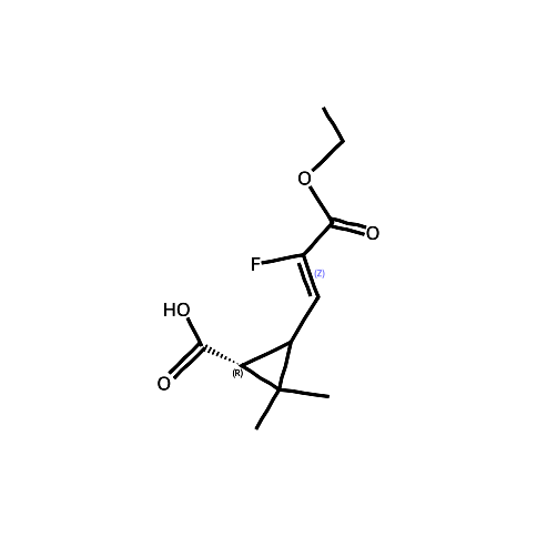 CCOC(=O)/C(F)=C/C1[C@@H](C(=O)O)C1(C)C